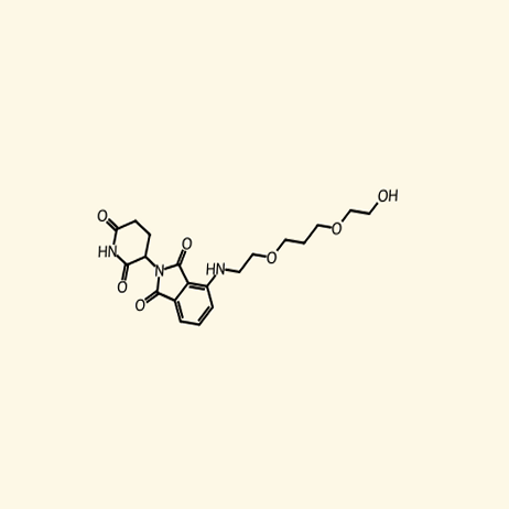 O=C1CCC(N2C(=O)c3cccc(NCCOCCCOCCO)c3C2=O)C(=O)N1